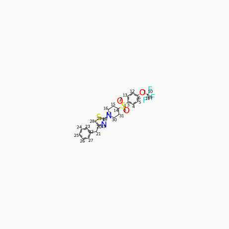 O=S(=O)(c1ccc(OC(F)(F)F)cc1)C1CCN(c2nc(Cc3ccccc3)cs2)CC1